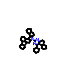 c1ccc(-c2nc(-n3c4ccc5ccccc5c4c4c5cccc6c5c(cc43)-c3ccccc3-6)nc3ccc4ccccc4c23)cc1